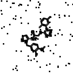 COc1ccc(Cn2nccc2NC(=O)CSc2nnnn2-c2cc(C)ccc2C)cc1F